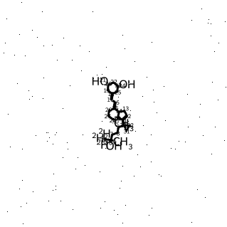 [2H]C([2H])([2H])C(C)(O)CCCC1(C2=CCC3/C(=C/C=C4/CC(O)C[C@H](O)C4)CCC[C@]23C)CC1